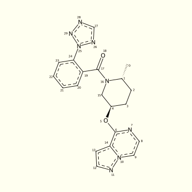 C[C@@H]1CC[C@@H](Oc2nccn3nccc23)CN1C(=O)c1ccccc1-n1ncnn1